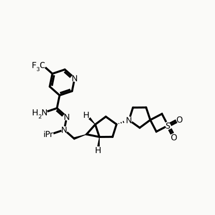 CC(C)N(C[C@H]1[C@@H]2C[C@H](N3CCC4(C3)CS(=O)(=O)C4)C[C@@H]21)/N=C(\N)c1cncc(C(F)(F)F)c1